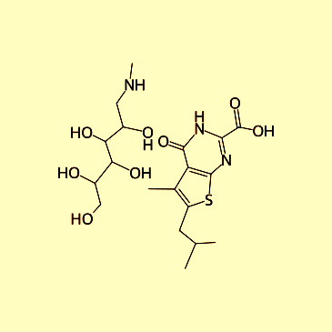 CNCC(O)C(O)C(O)C(O)CO.Cc1c(CC(C)C)sc2nc(C(=O)O)[nH]c(=O)c12